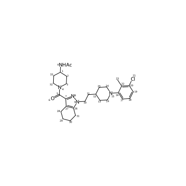 CC(=O)NC1CCN(C(=O)c2nn(CCC3CCN(c4cccc(Cl)c4C)CC3)c3c2CCCC3)CC1